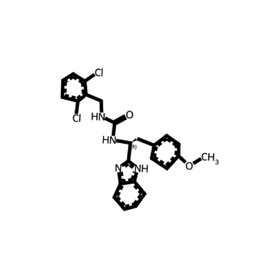 COc1ccc(C[C@@H](NC(=O)NCc2c(Cl)cccc2Cl)c2nc3ccccc3[nH]2)cc1